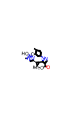 COC(=O)c1cnn(-c2ccc(C)c(C(=O)O)c2)c1C1C[C@H]1c1cn(C)nn1